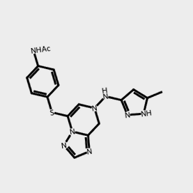 CC(=O)Nc1ccc(SC2=CN(Nc3cc(C)[nH]n3)Cc3ncnn32)cc1